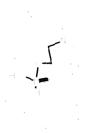 CP(=O)(O)OCCN